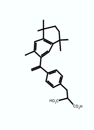 C=C(c1ccc(CC(C(=O)O)C(=O)O)cc1)c1cc2c(cc1C)C(C)(C)CCC2(C)C